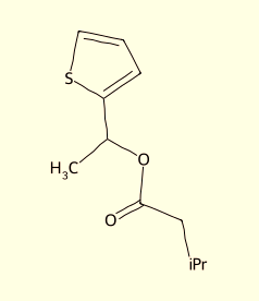 CC(C)CC(=O)OC(C)c1cccs1